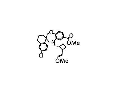 CO/C=C/[C@@H]1CC[C@H]1CN1CC2(CCCc3cc(Cl)ccc32)COc2ccc(C(=O)OC)cc21